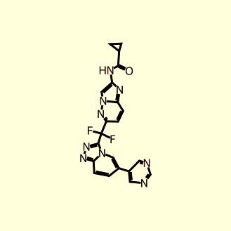 O=C(Nc1cn2nc(C(F)(F)c3nnc4ccc(-c5cncnc5)cn34)ccc2n1)C1CC1